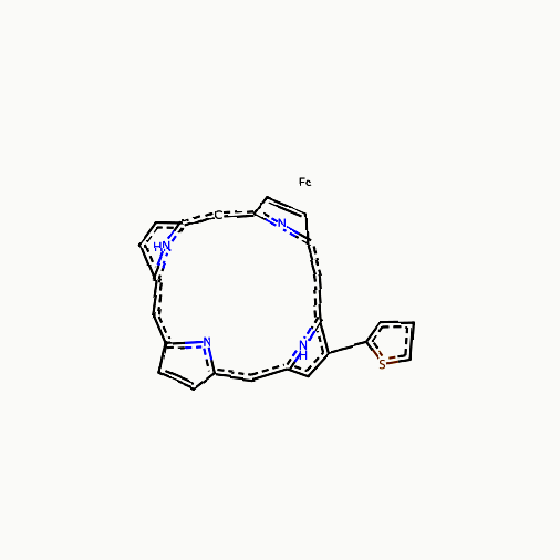 C1=Cc2cc3cc(-c4cccs4)c(cc4nc(cc5ccc(cc1n2)[nH]5)C=C4)[nH]3.[Fe]